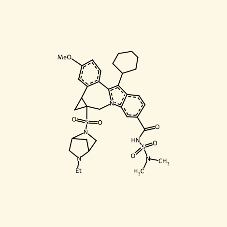 CCN1CC2CC1CN2S(=O)(=O)C12CC1c1cc(OC)ccc1-c1c(C3CCCCC3)c3ccc(C(=O)NS(=O)(=O)N(C)C)cc3n1C2